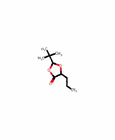 CCCC1OC(C(C)(C)C)OC1=O